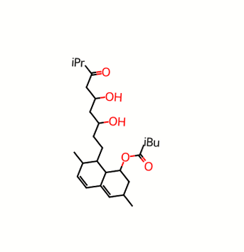 CCC(C)C(=O)OC1CC(C)C=C2C=CC(C)C(CCC(O)CC(O)CC(=O)C(C)C)C21